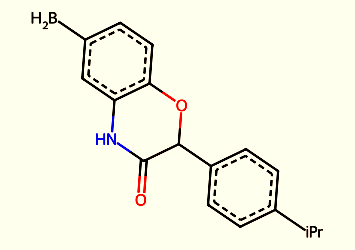 Bc1ccc2c(c1)NC(=O)C(c1ccc(C(C)C)cc1)O2